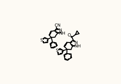 N#Cc1n[nH]c2c1C=CC(c1ccccc1)(c1ccsc1)C2.O=C(c1n[nH]c2c1C=CC(c1ccccc1)(c1ccsc1)C2)C1CC1